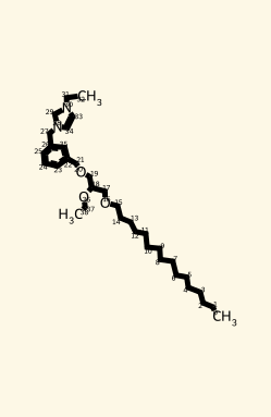 CCCCCCCCCCCCCCCCOCC(COCc1cccc(CN2[CH]N(CC)C=C2)c1)OCC